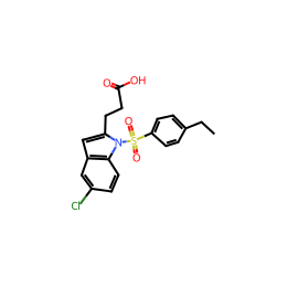 CCc1ccc(S(=O)(=O)n2c(CCC(=O)O)cc3cc(Cl)ccc32)cc1